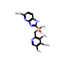 COc1ccc2[nH]c([SH](C)(=O)Cc3ncc(C)c(OC)c3C)nc2n1